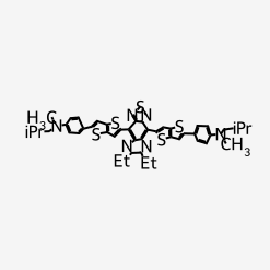 CCc1nc2c(-c3cc4sc(-c5ccc(N(C)CC(C)C)cc5)cc4s3)c3nsnc3c(-c3cc4sc(-c5ccc(N(C)CC(C)C)cc5)cc4s3)c2nc1CC